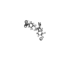 Cc1c(C=O)ccc2c1cc(C#N)n2CCc1ccc([N+](=O)[O-])cc1